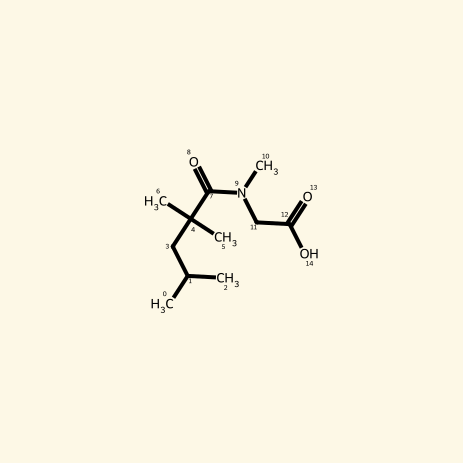 CC(C)CC(C)(C)C(=O)N(C)CC(=O)O